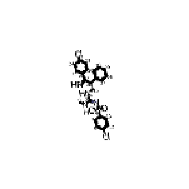 CN/C(=N\S(=O)(=O)c1ccc(Cl)cc1)NC[C@@H](C(=N)c1ccc(Cl)cc1)c1ccccc1